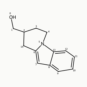 OCC1CCn2c([c]c3ccccc32)C1